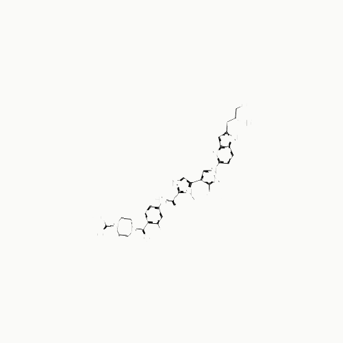 Cn1c(-c2cn(-c3ccc4[nH]c(C[C@H](O)CO)cc4n3)nc2C(F)(F)F)cnc1C(=O)Nc1ccc(C(=O)N2CCN(C(=O)C(F)(F)F)CC2)c(Cl)c1